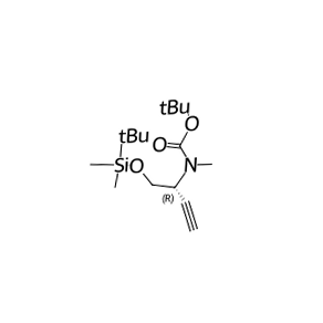 C#C[C@H](CO[Si](C)(C)C(C)(C)C)N(C)C(=O)OC(C)(C)C